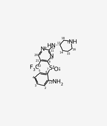 Nc1ccccc1[S+]([O-])c1nc(N[C@H]2CCCNC2)ncc1C(F)(F)F